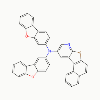 c1ccc2c(c1)ccc1sc3ncc(N(c4ccc5c(c4)oc4ccccc45)c4ccc5oc6ccccc6c5c4)cc3c12